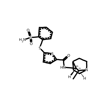 C[C@H]1[C@H](NC(=O)c2ccc(Sc3ccccc3S(N)(=O)=O)s2)C2CCN1CC2